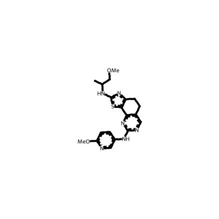 COCC(C)Nc1nc2c(s1)-c1nc(Nc3ccc(OC)nc3)ncc1CC2